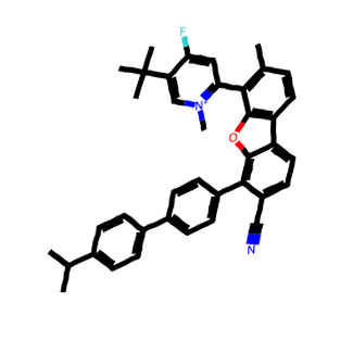 Cc1ccc2c(oc3c(-c4ccc(-c5ccc(C(C)C)cc5)cc4)c(C#N)ccc32)c1-c1cc(F)c(C(C)(C)C)c[n+]1C